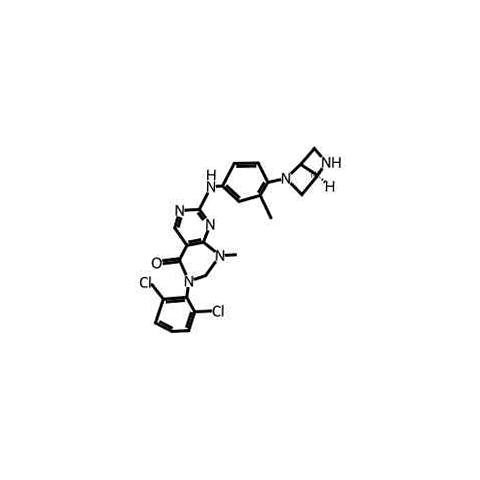 Cc1cc(Nc2ncc3c(n2)N(C)CN(c2c(Cl)cccc2Cl)C3=O)ccc1N1C[C@@H]2NCC21